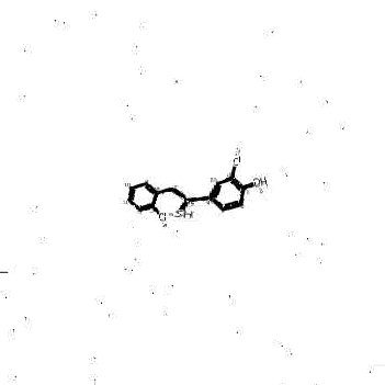 Oc1ccc(C(S)Cc2ccccc2Cl)cc1Cl